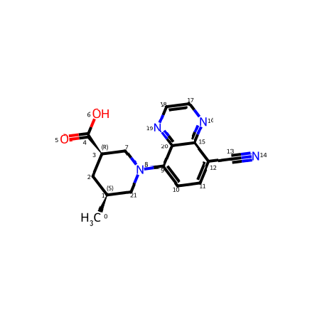 C[C@H]1C[C@@H](C(=O)O)CN(c2ccc(C#N)c3nccnc23)C1